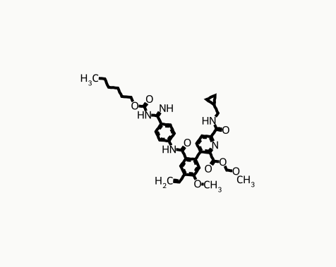 C=Cc1cc(C(=O)Nc2ccc(C(=N)NC(=O)OCCCCCC)cc2)c(-c2ccc(C(=O)NCC3CC3)nc2C(=O)OCOC)cc1OC